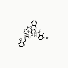 Cc1c(O)cccc1C(=O)N[C@@H](Cc1ccccc1)[C@H](O)C(=O)N1CSC[C@H]1C(=O)NCc1ccccc1Cl